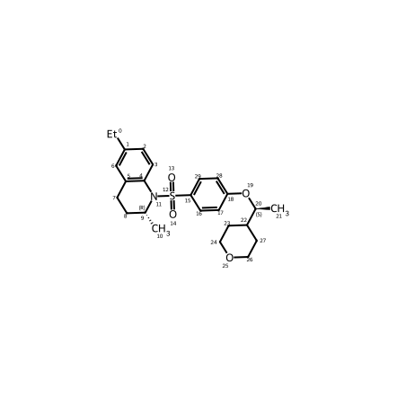 CCc1ccc2c(c1)CC[C@@H](C)N2S(=O)(=O)c1ccc(O[C@@H](C)C2CCOCC2)cc1